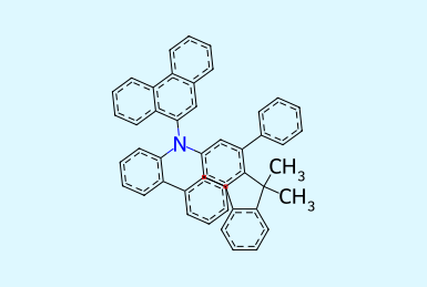 CC1(C)c2ccccc2-c2cc(N(c3ccccc3-c3ccccc3)c3cc4ccccc4c4ccccc34)cc(-c3ccccc3)c21